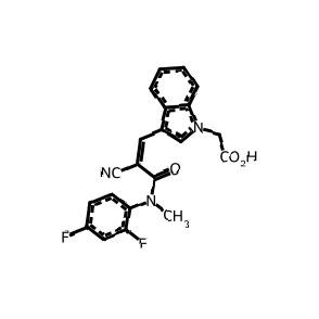 CN(C(=O)C(C#N)=Cc1cn(CC(=O)O)c2ccccc12)c1ccc(F)cc1F